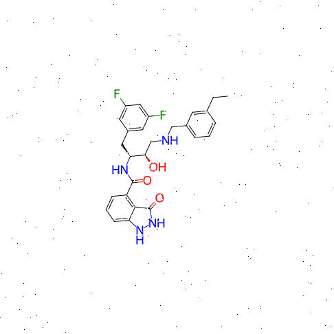 CCc1cccc(CNC[C@@H](O)[C@H](Cc2cc(F)cc(F)c2)NC(=O)c2cccc3[nH][nH]c(=O)c23)c1